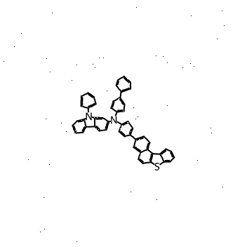 c1ccc(-c2ccc(N(c3ccc(-c4ccc5c(ccc6sc7ccccc7c65)c4)cc3)c3ccc4c5ccccc5n(-c5ccccc5)c4c3)cc2)cc1